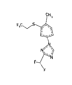 Cc1ccc(-n2cnc(C(F)F)n2)cc1SCC(F)(F)F